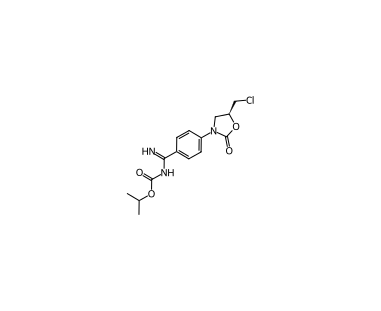 CC(C)OC(=O)NC(=N)c1ccc(N2C[C@@H](CCl)OC2=O)cc1